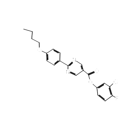 CCCCOc1ccc(-c2ncc(C(=O)Oc3ccc(F)c(Cl)c3)cn2)cc1